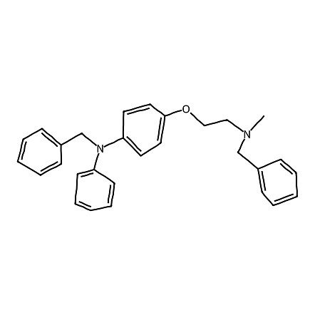 CN(CCOc1ccc(N(Cc2ccccc2)c2ccccc2)cc1)Cc1ccccc1